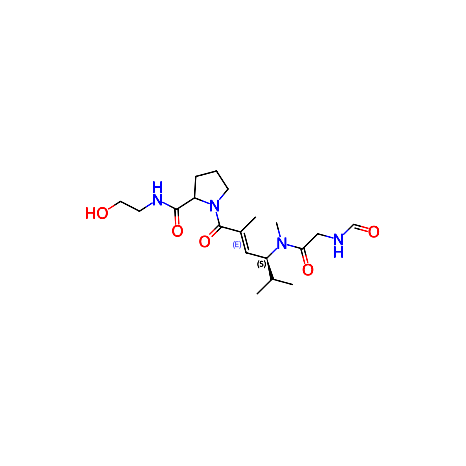 C/C(=C\[C@H](C(C)C)N(C)C(=O)CNC=O)C(=O)N1CCCC1C(=O)NCCO